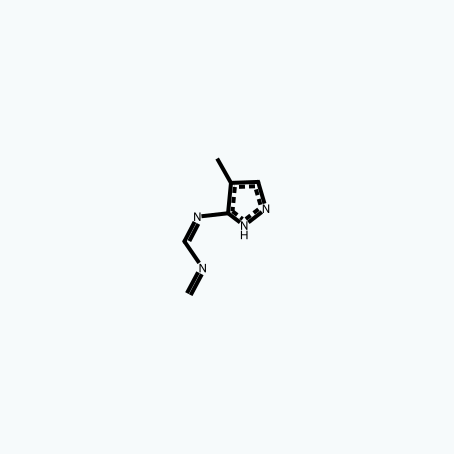 C=N/C=N\c1[nH]ncc1C